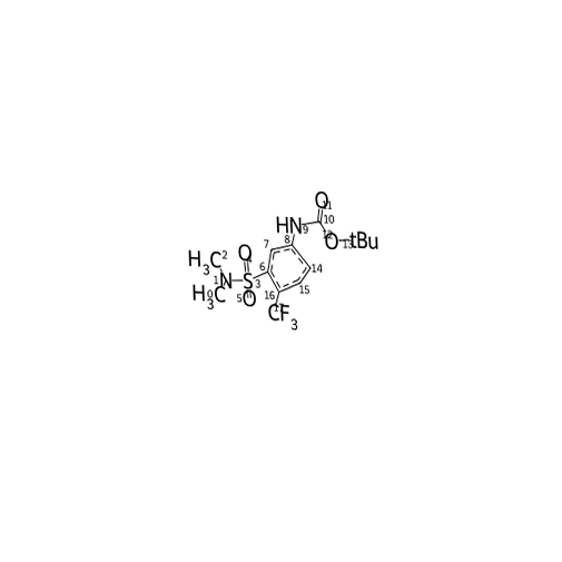 CN(C)S(=O)(=O)c1cc(NC(=O)OC(C)(C)C)ccc1C(F)(F)F